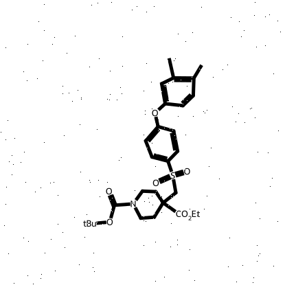 CCOC(=O)C1(CS(=O)(=O)c2ccc(Oc3ccc(C)c(C)c3)cc2)CCN(C(=O)OC(C)(C)C)CC1